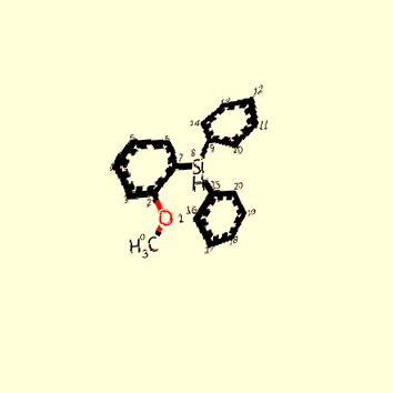 COc1ccccc1[SiH](c1ccccc1)c1ccccc1